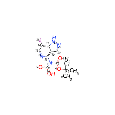 CC(C)(C)OC(=O)N(C(=O)O)c1ncc(I)c2[nH]ncc12